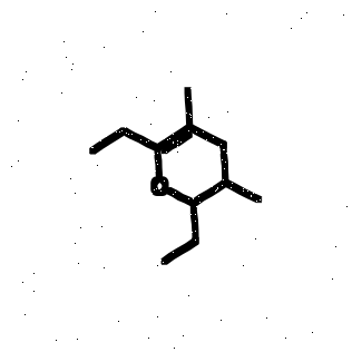 CCC1=C(C)CC(C)C(CC)O1